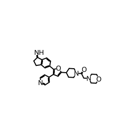 N=C1CCc2cc(-c3oc(C4CCN(C(=O)CN5CCOCC5)CC4)cc3-c3ccncc3)ccc21